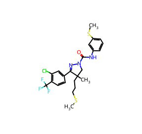 CSCCCC1(C)CN(C(=O)Nc2cccc(SC)c2)N=C1c1ccc(C(F)(F)F)c(Cl)c1